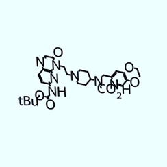 CC(C)(C)OC(=O)Nc1ccc2ncc(=O)n(CCN3CCC(N(Cc4cc5c(cn4)OCCO5)C(=O)O)CC3)c2n1